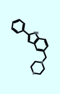 c1ccc(-c2cc3cc(CN4CCSCC4)ccc3[nH]2)cc1